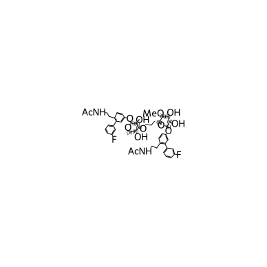 CO[C@@H]1[C@@H](O)[C@@H](O)[C@H](Oc2ccc(CCNC(C)=O)c(-c3cccc(F)c3)c2)O[C@@H]1CCCO[C@H]1[C@H](O)[C@H](Oc2ccc(CCNC(C)=O)c(-c3cccc(F)c3)c2)O[C@@H](C)[C@H]1O